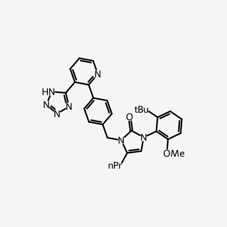 CCCc1cn(-c2c(OC)cccc2C(C)(C)C)c(=O)n1Cc1ccc(-c2ncccc2-c2nnn[nH]2)cc1